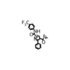 CN(C)C(=O)C1CN(C(=O)Nc2ccc(C(F)(F)F)cc2)N=C1c1ccccc1